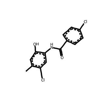 Cc1cc(O)c(NC(=O)c2ccc(Cl)cc2)cc1Cl